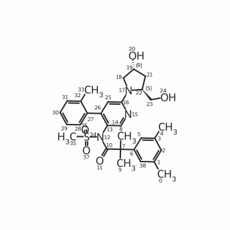 Cc1cc(C)cc(C(C)(C)C(=O)N(c2cnc(N3C[C@H](O)C[C@H]3CO)cc2-c2ccccc2C)S(C)(=O)=O)c1